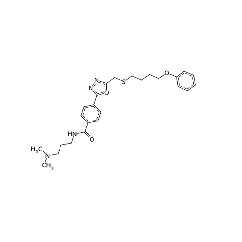 CN(C)CCCNC(=O)c1ccc(-c2nnc(CSCCCCOc3ccccc3)o2)cc1